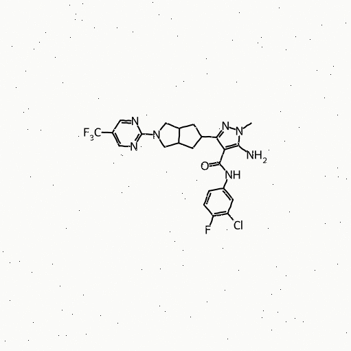 Cn1nc(C2CC3CN(c4ncc(C(F)(F)F)cn4)CC3C2)c(C(=O)Nc2ccc(F)c(Cl)c2)c1N